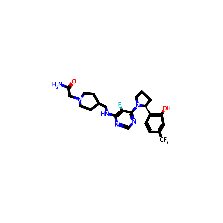 NC(=O)CN1CCC(CNc2ncnc(N3CCC[C@H]3c3ccc(C(F)(F)F)cc3O)c2F)CC1